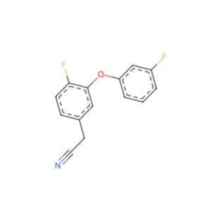 N#CCc1ccc(F)c(Oc2cccc(F)c2)c1